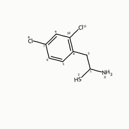 NC(S)Cc1ccc(Cl)cc1Cl